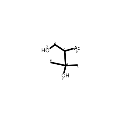 CC(=O)C(CO)C(C)(C)O